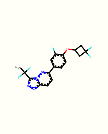 CC(F)(F)c1nnc2ccc(-c3ccc(OC4CC(F)(F)C4)c(F)c3)nn12